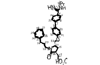 CC(C)NC(=N)c1ccc(-c2ccc(OC[C@@H]3C[C@@H](CC(=O)O)C(=O)N3CCCc3ccccc3)cc2)cc1